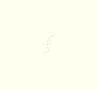 COC(=O)c1ccccc1Nc1cnc2c(c1)OCCN2C(=O)Nc1ccccc1